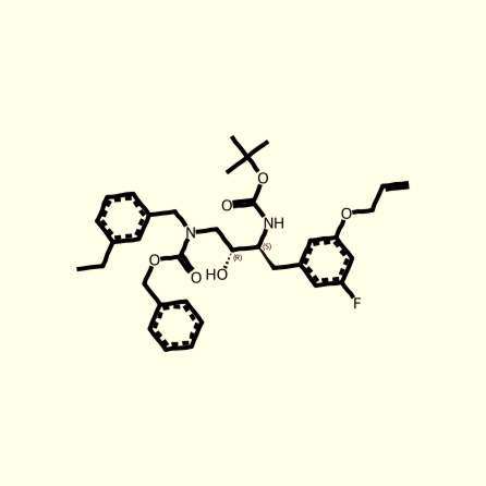 C=CCOc1cc(F)cc(C[C@H](NC(=O)OC(C)(C)C)[C@H](O)CN(Cc2cccc(CC)c2)C(=O)OCc2ccccc2)c1